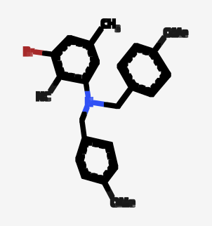 COc1ccc(CN(Cc2ccc(OC)cc2)c2cc(C)cc(Br)c2C#N)cc1